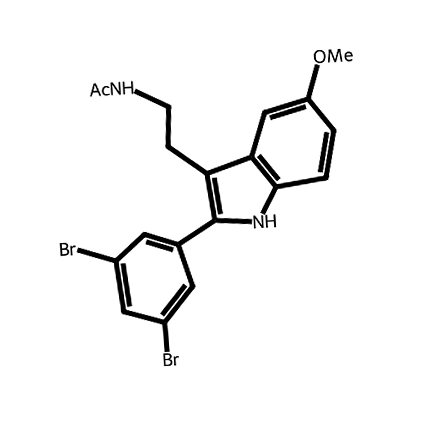 COc1ccc2[nH]c(-c3cc(Br)cc(Br)c3)c(CCNC(C)=O)c2c1